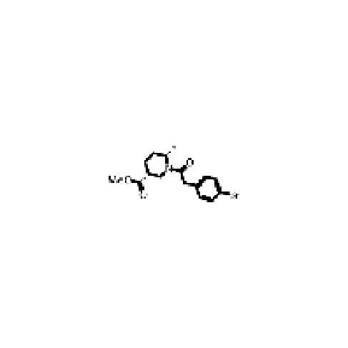 COC(=O)[C@@H]1CC[C@H](C)N(C(=O)Cc2ccc(Br)cc2)C1